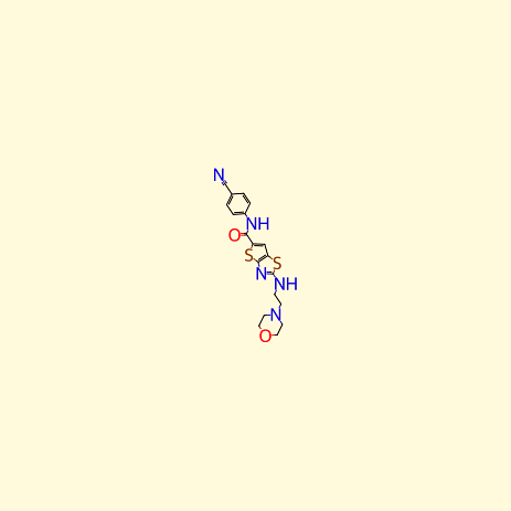 N#Cc1ccc(NC(=O)c2cc3sc(NCCN4CCOCC4)nc3s2)cc1